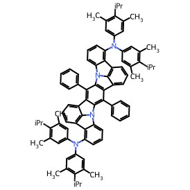 Cc1cc(N(c2cc(C)c(C(C)C)c(C)c2)c2cccc3c2c2cccc4c5c(-c6ccccc6)c6c(c(-c7ccccc7)c5n3c24)c2cccc3c4c(N(c5cc(C)c(C(C)C)c(C)c5)c5cc(C)c(C(C)C)c(C)c5)cccc4n6c32)cc(C)c1C(C)C